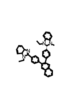 CCN1C(c2ccc(-c3cc4ccccc4cc3-c3ccc([C@H]4N(C)c5ccccc5N4CC)cc3)cc2)=NC2C=CC=CC21